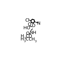 CC(C)(C)OC(=O)NCC[C@@H](Oc1cc(Cl)ccc1C#N)C(=O)O